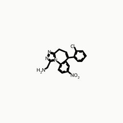 NCc1nnc2n1-c1ccc([N+](=O)[O-])cc1C(c1ccccc1Cl)=CC2